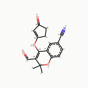 CC1(C)Oc2ccc(C#N)cc2C(OC2=CC(=O)CC2)=C1C=O